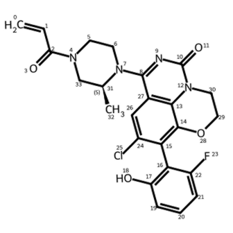 C=CC(=O)N1CCN(c2nc(=O)n3c4c(c(-c5c(O)cccc5F)c(Cl)cc24)OCC3)[C@@H](C)C1